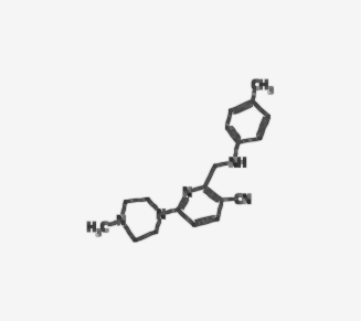 Cc1ccc(NCc2nc(N3CCN(C)CC3)ccc2C#N)cc1